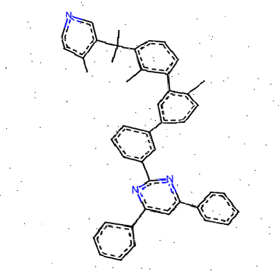 Cc1ccc(-c2cccc(-c3nc(-c4ccccc4)cc(-c4ccccc4)n3)c2)cc1-c1cccc(C(C)(C)c2cnccc2C)c1C